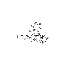 O=C(O)C1CN(Cc2ncccn2)C(=O)C1Cc1ccccc1